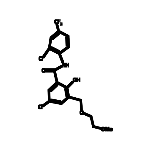 COCCOCc1cc(Cl)cc(C(=O)Nc2ccc(C(F)(F)F)cc2Cl)c1O